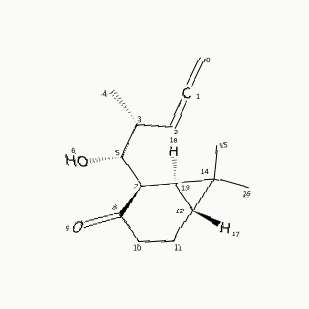 C=C=C[C@@H](C)[C@@H](O)[C@@H]1C(=O)CC[C@@H]2[C@@H]1C2(C)C